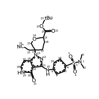 CN(C)S(=O)(=O)c1ccc(Nc2nn(C3(CC#N)CCC(C(=O)OC(C)(C)C)OC3)c3cc[nH]c(=O)c23)cc1